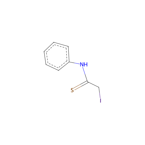 S=C(CI)Nc1ccccc1